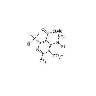 CCN(C)c1c(C(=O)O)c(C(F)(F)F)nc(C(F)(F)Cl)c1C(=O)OC